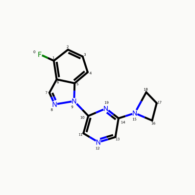 Fc1cccc2c1cnn2-c1cncc(N2CCC2)n1